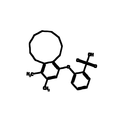 Cc1cc(Oc2ccccc2S(=O)(=O)O)c2c(c1C)CCCCCCCCC2